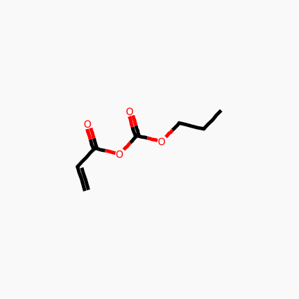 C=CC(=O)OC(=O)OCCC